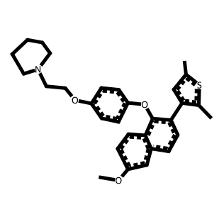 COc1ccc2c(Oc3ccc(OCCN4CCCCC4)cc3)c(-c3cc(C)sc3C)ccc2c1